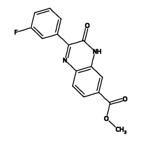 COC(=O)c1ccc2nc(-c3cccc(F)c3)c(=O)[nH]c2c1